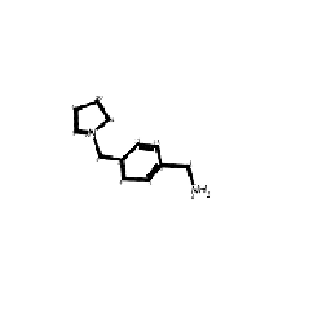 NCC1=CCC(CN2CCCC2)C=C1